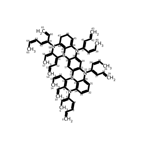 C=C/C=C\C(=C/C)N1C(C=C)=C(/C=C\C)B2c3cc4c(cc3N(C(/C=C\C)=C/C=C)c3cccc1c32)N(C(/C=C\C)=C/C=C)C1=CCCC2=C1B4C(=C/C=C)/C(=C\C)N2/C(C=C)=C/C=C\C